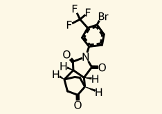 O=C1C[C@H]2CC[C@@H]1[C@H]1C(=O)N(c3ccc(Br)c(C(F)(F)F)c3)C(=O)[C@@H]21